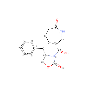 O=C1CCC[C@@H](C(=O)N2C(=O)OCC2Cc2ccccc2)CN1